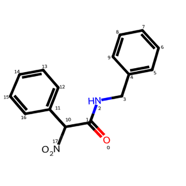 O=C(NCc1ccccc1)C(c1ccccc1)[N+](=O)[O-]